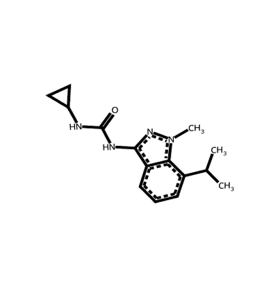 CC(C)c1cccc2c(NC(=O)NC3CC3)nn(C)c12